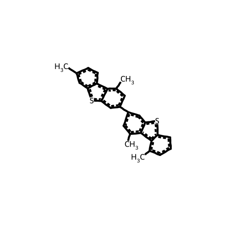 Cc1ccc2c(c1)sc1cc(-c3cc(C)c4c(c3)sc3cccc(C)c34)cc(C)c12